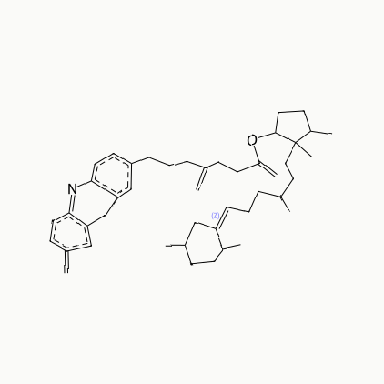 C=C(CCCc1ccc2c(c1)Cc1cc(=C)ccc1=N2)CCC(=C)OC1CCC(C)C1(C)CCC(C)CC/C=C1/CC(C)CCC1C